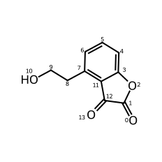 O=C1Oc2cccc(CCO)c2C1=O